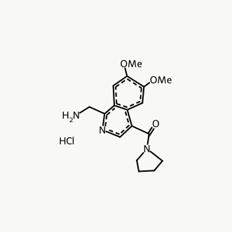 COc1cc2c(C(=O)N3CCCC3)cnc(CN)c2cc1OC.Cl